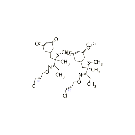 CCC(=NOC/C=C/Cl)C(C)(CC1CC(=O)C=C([O-])C1)SC.CCC(=NOC/C=C/Cl)C(C)(CC1CC(=O)C=C([O-])C1)SC.[Cu+2]